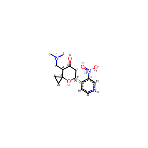 CN(C)CC1C(=O)C[C@H](c2ccncc2[N+](=O)[O-])OC12CC2